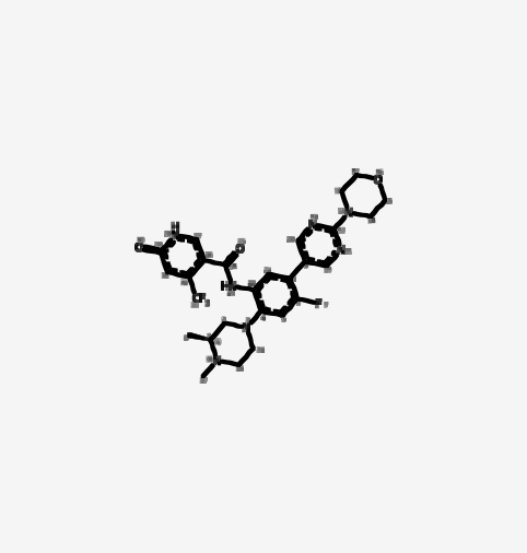 C[C@H]1CN(c2cc(F)c(-c3cnc(N4CCOCC4)nc3)cc2NC(=O)c2c[nH]c(=O)cc2C(F)(F)F)CCN1C